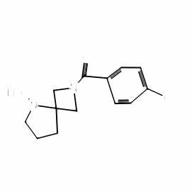 Cc1ccc(C(=O)N2CC3(CCCN3C)C2)cc1